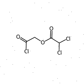 O=C(Cl)COC(=O)C(Cl)Cl